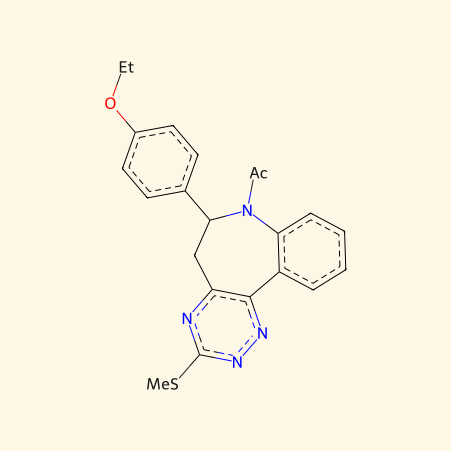 CCOc1ccc(C2Cc3nc(SC)nnc3-c3ccccc3N2C(C)=O)cc1